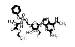 CCOC(=O)[C@@H](C)N[P@@](=O)(OC[C@H]1O[C@@H](n2cnc3c(NC)nc(N)nc32)[C@@H](CF)[C@@H]1O)Oc1ccccc1